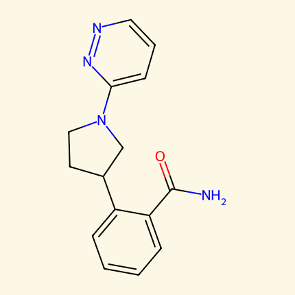 NC(=O)c1ccccc1C1CCN(c2cccnn2)C1